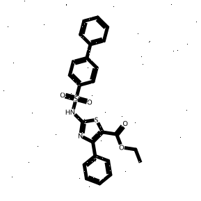 CCOC(=O)c1sc(NS(=O)(=O)c2ccc(-c3ccccc3)cc2)nc1-c1ccccc1